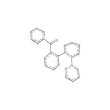 O=C(c1ccccc1)c1ccccc1-c1ccccc1-c1ccccn1